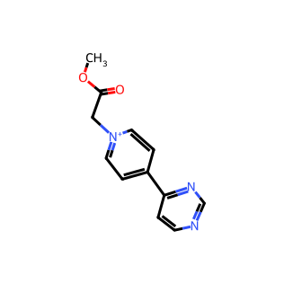 COC(=O)C[n+]1ccc(-c2ccncn2)cc1